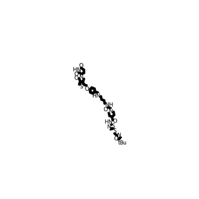 CC(C)(C)c1cnc(CSc2cnc(NC(=O)C3CCN(CC(=O)NCCCCNCc4ccc(OCc5scc6c5CN(C5CCC(=O)NC5=O)C6=O)cc4)CC3)s2)o1